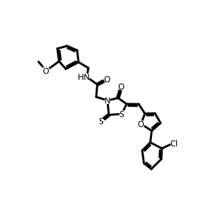 COc1cccc(CNC(=O)CN2C(=O)C(=Cc3ccc(-c4ccccc4Cl)o3)SC2=S)c1